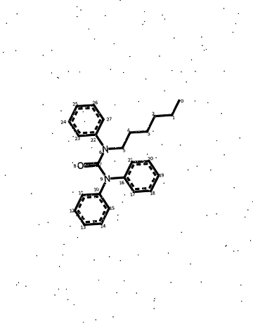 CCCCCCN(C(=O)N(c1ccccc1)c1ccccc1)c1ccccc1